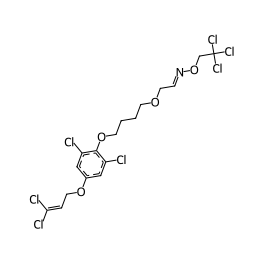 ClC(Cl)=CCOc1cc(Cl)c(OCCCCOCC=NOCC(Cl)(Cl)Cl)c(Cl)c1